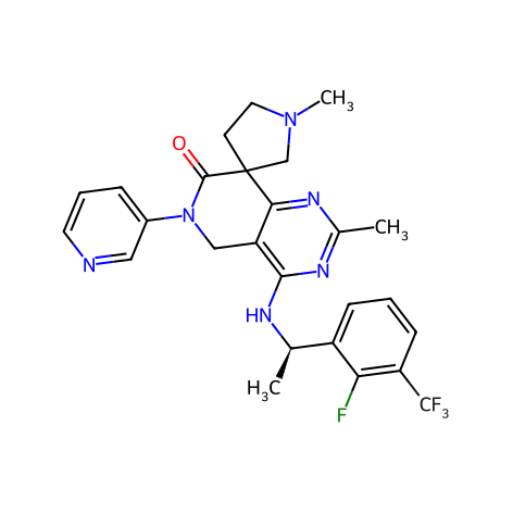 Cc1nc(N[C@H](C)c2cccc(C(F)(F)F)c2F)c2c(n1)C1(CCN(C)C1)C(=O)N(c1cccnc1)C2